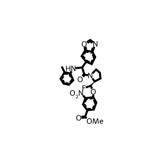 COC(=O)c1ccc(OC(F)[C@@H]2CCCN2C(=O)C(Nc2ccccc2C)c2ccc3ncoc3c2)c([N+](=O)[O-])c1